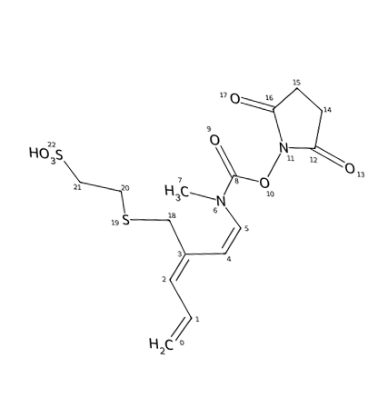 C=C/C=C(\C=C/N(C)C(=O)ON1C(=O)CCC1=O)CSCCS(=O)(=O)O